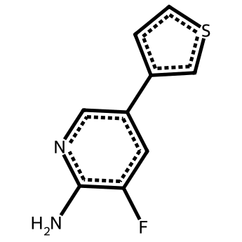 Nc1ncc(-c2ccsc2)cc1F